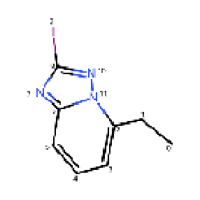 CCc1cccc2nc(I)nn12